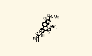 CCCn1cc(C(=O)NC)c(=O)c2ccc(-c3cnc(NC(=O)NCC)cc3-c3nc(C(F)(F)F)cs3)cc21